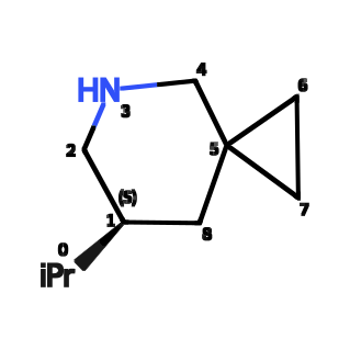 CC(C)[C@H]1CNCC2(CC2)C1